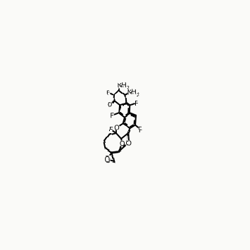 NC1c2c(c(F)c3c4c(c(F)cc3c2F)C2OC3OC2C(F)(CCCC32CO2)O4)C(=O)C(F)C1N